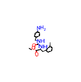 CCOC(=O)C(Cc1cccc(C)c1)NC(=O)NCc1ccc(N)cc1